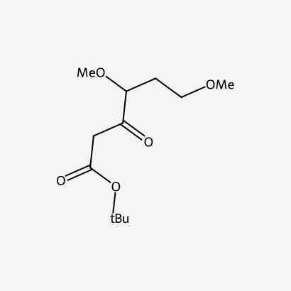 COCCC(OC)C(=O)CC(=O)OC(C)(C)C